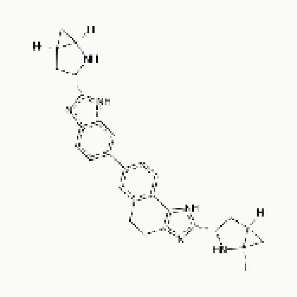 c1cc2c(cc1-c1ccc3nc([C@@H]4C[C@H]5C[C@H]5N4)[nH]c3c1)CCc1nc([C@@H]3C[C@H]4C[C@H]4N3)[nH]c1-2